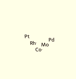 [Co].[Mo].[Pd].[Pt].[Rh]